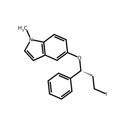 Cn1ccc2cc(O[C@H](CCI)c3ccccc3)ccc21